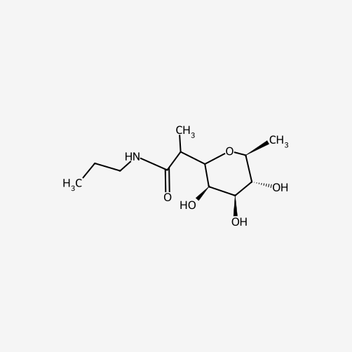 CCCNC(=O)C(C)C1O[C@@H](C)[C@H](O)[C@@H](O)[C@H]1O